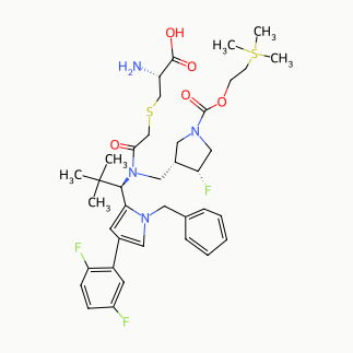 CC(C)(C)[C@H](c1cc(-c2cc(F)ccc2F)cn1Cc1ccccc1)N(C[C@@H]1CN(C(=O)OCCS(C)(C)C)C[C@@H]1F)C(=O)CSC[C@H](N)C(=O)O